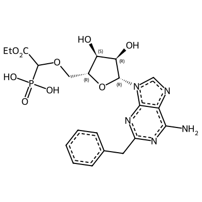 CCOC(=O)C(OC[C@H]1O[C@@H](n2cnc3c(N)nc(Cc4ccccc4)nc32)[C@H](O)[C@@H]1O)P(=O)(O)O